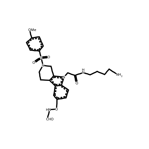 COc1ccc(S(=O)(=O)N2CCc3c(n(CC(=O)NCCCCN)c4ccc(ONC=O)cc34)C2)cc1